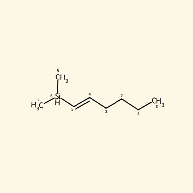 CCCCC=C[SiH](C)C